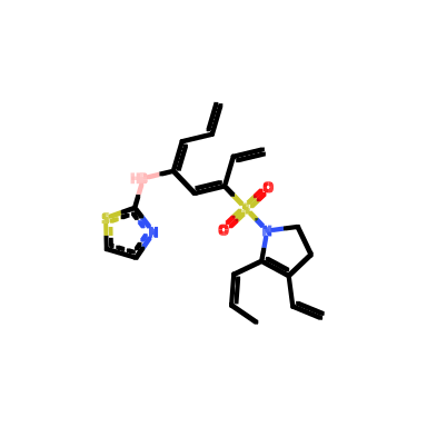 C=C/C=C(Bc1nccs1)\C=C(/C=C)S(=O)(=O)N1CCC(C=C)=C1/C=C\C